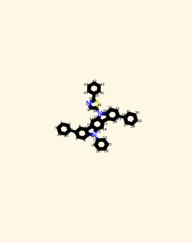 c1ccc(-c2ccc3c(c2)c2cc4c(cc2n3-c2ccccc2)c2cc(-c3ccccc3)ccc2n4-c2cnc(-c3ccccc3)s2)cc1